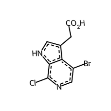 O=C(O)Cc1c[nH]c2c(Cl)ncc(Br)c12